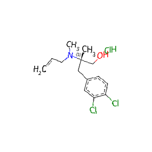 C=CCN(C)[C@](C)(CO)Cc1ccc(Cl)c(Cl)c1.Cl